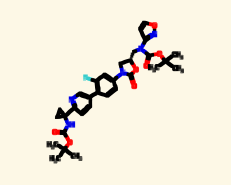 CC(C)(C)OC(=O)NC1(c2ccc(-c3ccc(N4C[C@H](CN(C(=O)OC(C)(C)C)c5ccon5)OC4=O)cc3F)cn2)CC1